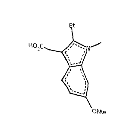 CCc1c(C(=O)O)c2ccc(OC)cc2n1C